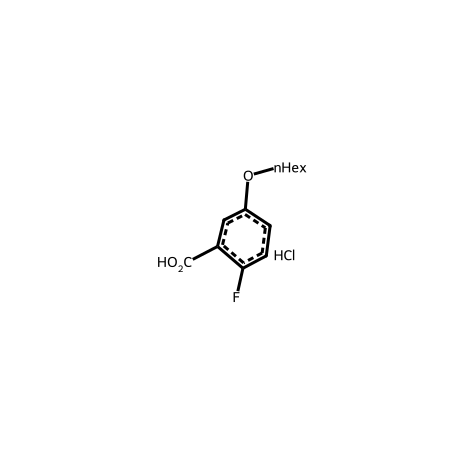 CCCCCCOc1ccc(F)c(C(=O)O)c1.Cl